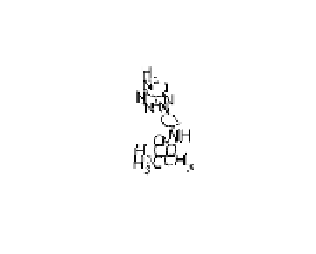 CC(C)(C)OC(=O)N[C@H]1CC[C@@H](n2nc(I)c3c(N)ncnc32)CC1